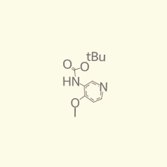 CC(C)(C)OC(=O)Nc1cnccc1OI